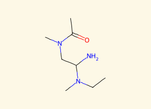 CCN(C)C(N)CN(C)C(C)=O